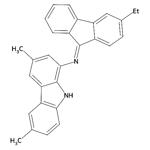 CCc1ccc2c(c1)-c1ccccc1/C2=N\c1cc(C)cc2c1[nH]c1ccc(C)cc12